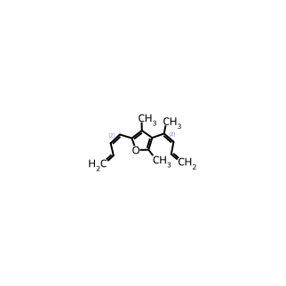 C=C/C=C\c1oc(C)c(/C(C)=C\C=C)c1C